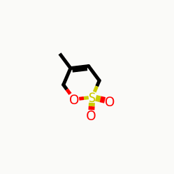 CC1=CCS(=O)(=O)OC1